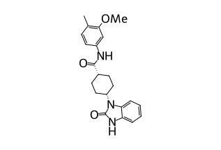 COc1cc(NC(=O)[C@H]2CC[C@@H](n3c(=O)[nH]c4ccccc43)CC2)ccc1C